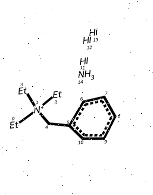 CC[N+](CC)(CC)Cc1ccccc1.I.I.I.N